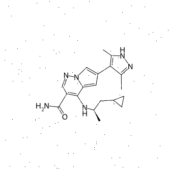 Cc1n[nH]c(C)c1-c1cc2c(N[C@H](C)CC3CC3)c(C(N)=O)cnn2c1